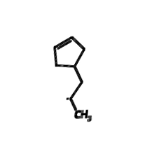 C[CH]CC1CC=CC1